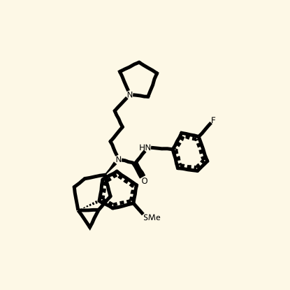 CSc1cccc([C@]23CC[C@@H](N(CCCN4CCCC4)C(=O)Nc4cccc(F)c4)CC2C3)c1